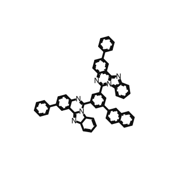 C1=CC2N=C3c4cc(-c5ccccc5)ccc4N=C(c4cc(-c5ccc6ccccc6c5)cc(-c5nc6ccc(-c7ccccc7)cc6c6nc7ccccc7n56)c4)N3C2C=C1